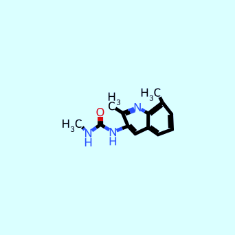 CNC(=O)Nc1cc2cccc(C)c2nc1C